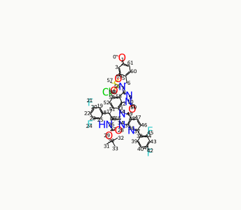 COc1ccc(CN(c2nn(C)c3c(-n4c([C@H](Cc5cc(F)cc(F)c5)NC(=O)OC(C)(C)C)nc5nc(-c6ccc(F)cc6F)ccc5c4=O)ccc(Cl)c23)S(C)(=O)=O)cc1